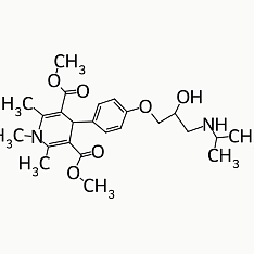 COC(=O)C1=C(C)N(C)C(C)=C(C(=O)OC)C1c1ccc(OCC(O)CNC(C)C)cc1